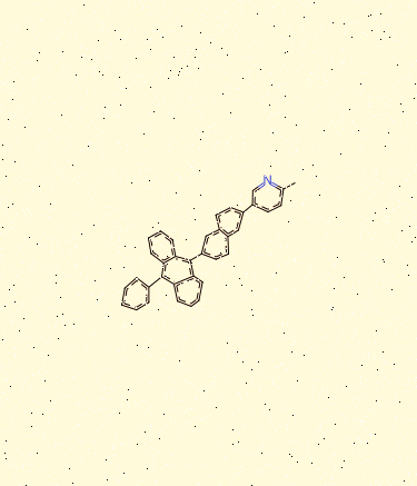 Cc1ccc(-c2ccc3cc(-c4c5ccccc5c(-c5ccccc5)c5ccccc45)ccc3c2)cn1